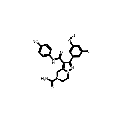 CCOc1cc(Cl)cc(-c2nn3c(c2C(=O)Nc2ccc(C#N)cc2)CN(C(N)=O)CC3)c1